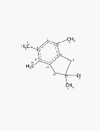 CCC1(C)Cc2c(C)cc(C)c(C)c2C1